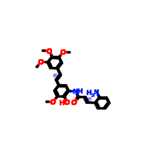 COc1cc(/C=C/c2cc(OC)c(OC)c(OC)c2)cc(NC(=O)/C=C/c2ccccc2N)c1O